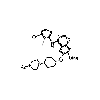 COc1cc2ncnc(Nc3cccc(Cl)c3F)c2cc1O[C@H]1CC[C@H](N2CCN(C(C)=O)CC2)CC1